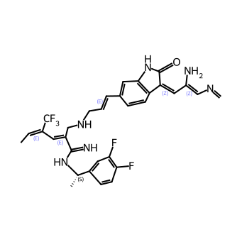 C=N/C=C(N)/C=C1\C(=O)Nc2cc(/C=C/CNC/C(=C\C(=C/C)C(F)(F)F)C(=N)N[C@@H](C)c3ccc(F)c(F)c3)ccc21